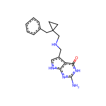 Nc1nc2[nH]cc(CNCC3(Cc4ccccc4)CC3)c2c(=O)[nH]1